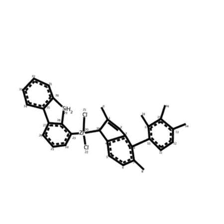 CC1=Cc2c(ccc(C)c2-c2ccc(C)c(C)c2C)[CH]1[Zr]([Cl])([Cl])[c]1cccc2c1[SiH2]c1ccccc1-2